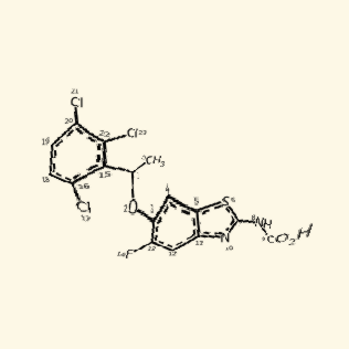 CC(Oc1cc2sc(NC(=O)O)nc2cc1F)c1c(Cl)ccc(Cl)c1Cl